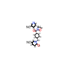 N#Cc1cncc([C@@H]2CCON2C(=O)[C@H]2CC[C@H](Cn3cc(C#N)ccc3=O)CC2)c1